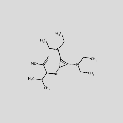 CCN(CC)C1=C(N(CC)CC)C1N[C@H](C(=O)O)C(C)C